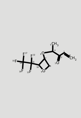 C=CC(=O)C(C)OC1COC1C(F)(F)C(F)(F)F